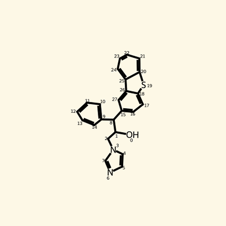 OC(Cn1ccnc1)C(c1ccccc1)c1ccc2sc3ccccc3c2c1